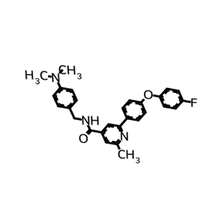 Cc1cc(C(=O)NCc2ccc(N(C)C)cc2)cc(-c2ccc(Oc3ccc(F)cc3)cc2)n1